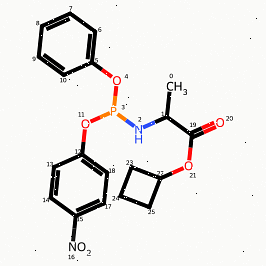 CC(NP(Oc1ccccc1)Oc1ccc([N+](=O)[O-])cc1)C(=O)OC1CCC1